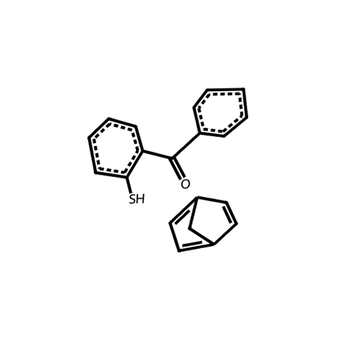 C1=CC2=CC=C1C2.O=C(c1ccccc1)c1ccccc1S